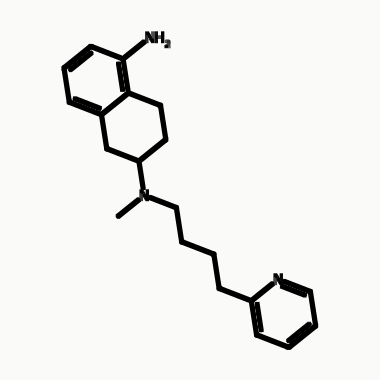 CN(CCCCc1ccccn1)C1CCc2c(N)cccc2C1